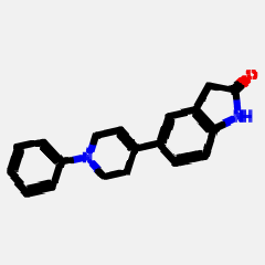 O=C1Cc2cc(C3=CCN(c4ccccc4)CC3)ccc2N1